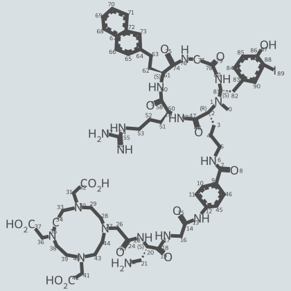 CN1[C@H](CCCNC(=O)c2ccc(NC(=O)CNC(=O)[C@H](CN)NC(=O)CN3CCN(CC(=O)O)CCN(CC(=O)O)CCN(CC(=O)O)CC3)cc2)C(=O)N[C@@H](CCCNC(=N)N)C(=O)N[C@@H](CCc2ccc3ccccc3c2)C(=O)NCC(=O)N[C@@H]1Cc1ccc(O)c(I)c1